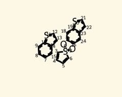 O=S1(=O)C=CC=C1.c1ccc2sccc2c1.c1ccc2sccc2c1